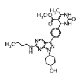 CCCCNc1ncc2c(-c3ccc(C4NC(=O)NC(C)=C4C(=O)OC)cc3)nn(C3CCC(O)CC3)c2n1